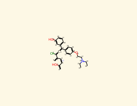 C=C(O)/C=C\C(=C)C(Cl)=C=C(c1ccc(OCCN(CC)CC)cc1)c1cccc(O)c1